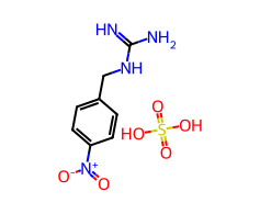 N=C(N)NCc1ccc([N+](=O)[O-])cc1.O=S(=O)(O)O